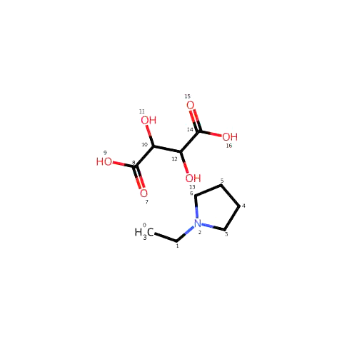 CCN1CCCC1.O=C(O)C(O)C(O)C(=O)O